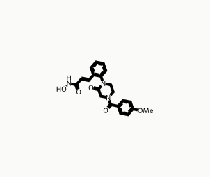 COc1ccc(C(=O)N2CCN(c3ccccc3/C=C/C(=O)NO)C(=O)C2)cc1